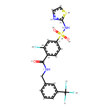 O=C(NCc1cccc(C(F)(F)F)c1)c1ccc(S(=O)(=O)Nc2nccs2)cc1F